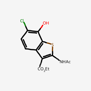 CCOC(=O)c1c(NC(C)=O)sc2c(O)c(Cl)ccc12